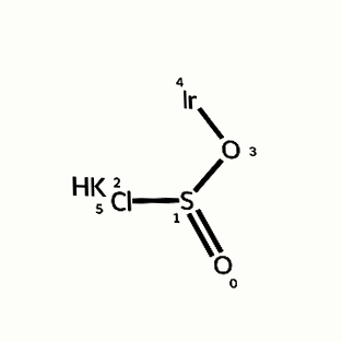 O=S(Cl)[O][Ir].[KH]